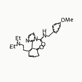 CCN(CC)CCC1=C(c2nccn2C(=O)NCc2ccc(OC)cc2)C(=O)CC=C1